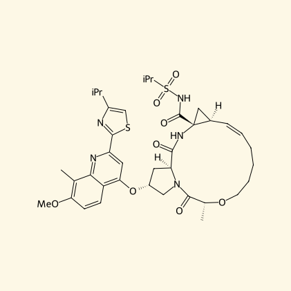 COc1ccc2c(O[C@@H]3C[C@H]4C(=O)N[C@]5(C(=O)NS(=O)(=O)C(C)C)C[C@H]5/C=C\CCCCO[C@H](C)C(=O)N4C3)cc(-c3nc(C(C)C)cs3)nc2c1C